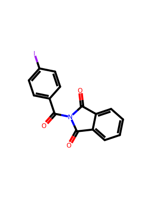 O=C(c1ccc(I)cc1)N1C(=O)c2ccccc2C1=O